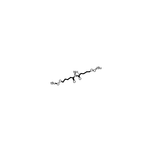 CC(C)(C)OOCCCCC(=O)N(N)C(=O)CCCCOOC(C)(C)C